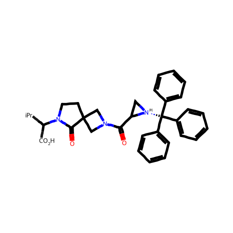 CC(C)C(C(=O)O)N1CCC2(CN(C(=O)C3C[N@]3C(c3ccccc3)(c3ccccc3)c3ccccc3)C2)C1=O